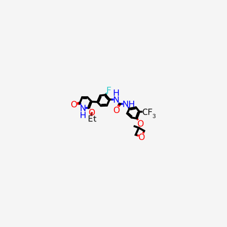 CCOc1[nH]c(=O)ccc1-c1ccc(NC(=O)Nc2ccc(OC3(C)COC3)c(C(F)(F)F)c2)c(F)c1